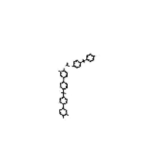 COc1ccc(-c2ccc(C(C)(C)c3ccc(-c4ccc(OC(=O)Oc5ccc(C(C)(C)c6ccc(OC(C)=O)cc6)cc5)c(C)c4)cc3)cc2)cc1C